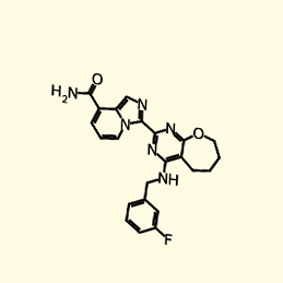 NC(=O)c1cccn2c(-c3nc(NCc4cccc(F)c4)c4c(n3)OCCCC4)ncc12